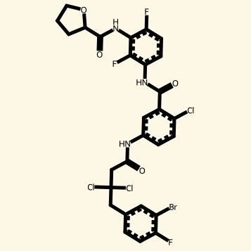 O=C(CC(Cl)(Cl)Cc1ccc(F)c(Br)c1)Nc1ccc(Cl)c(C(=O)Nc2ccc(F)c(NC(=O)C3CCCO3)c2F)c1